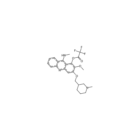 CNc1c2ccccc2nc2cc(OCC3CCCN(C)C3)c(OC)c(OC(=O)C(F)(F)F)c12